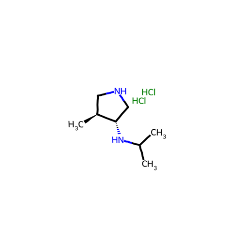 CC(C)N[C@H]1CNC[C@@H]1C.Cl.Cl